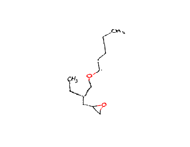 CCCC[CH]OCC(CC)CC1CO1